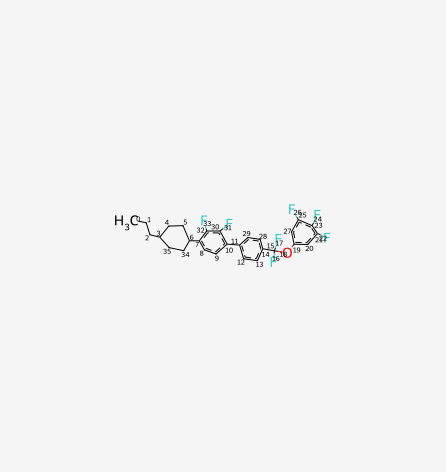 CCCC1CCC(c2ccc(-c3ccc(C(F)(F)Oc4cc(F)c(F)c(F)c4)cc3)c(F)c2F)CC1